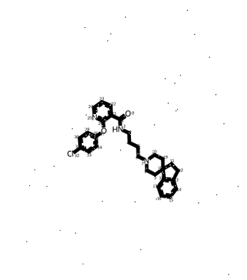 O=C(NCCCCN1CCC2(CCc3ccccc32)CC1)c1cccnc1Oc1ccc(Cl)cc1